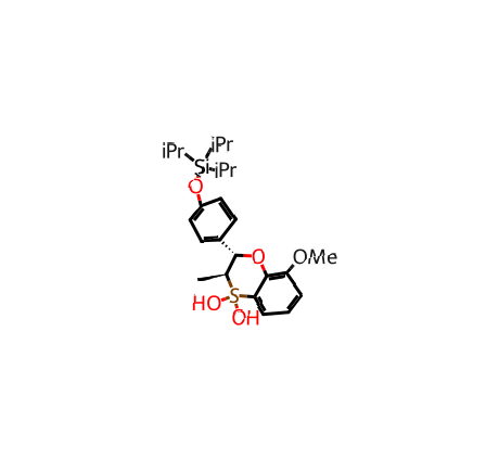 COc1cccc2c1O[C@@H](c1ccc(O[Si](C(C)C)(C(C)C)C(C)C)cc1)[C@H](C)S2(O)O